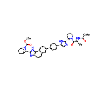 COC(=O)N[C@H](C(=O)N1CCC[C@H]1c1ncc(-c2ccc(-c3ccc4c(ccc5nc(C6C7CCC(C7)N6C(=O)OC(C)(C)C)[nH]c54)c3)cc2)[nH]1)C(C)C